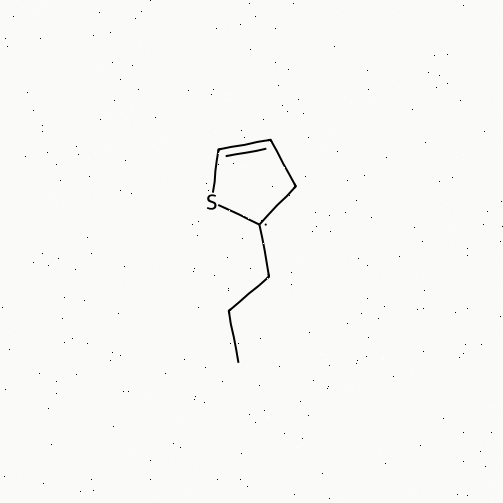 CCC[C]1CC=CS1